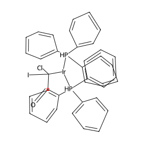 O=C[C](Cl)(I)[Ir]([PH](c1ccccc1)(c1ccccc1)c1ccccc1)[PH](c1ccccc1)(c1ccccc1)c1ccccc1